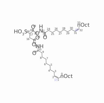 CCCCCCCC/C=C\CCCCCCCC(=O)NOC(=O)CC(C(=O)ONC(=O)CCCCCCC/C=C\CCCCCCCC)S(=O)(=O)O